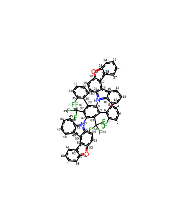 Fc1ccccc1-c1c(-n2c3ccccc3c3c4c(ccc32)oc2ccccc24)c(-c2ccccc2F)c(C(F)(F)F)c(-n2c3ccccc3c3c4c(ccc32)oc2ccccc24)c1C(F)(F)F